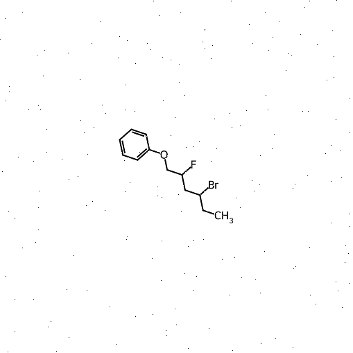 CCC(Br)CC(F)COc1ccccc1